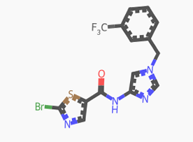 O=C(Nc1cn(Cc2cccc(C(F)(F)F)c2)cn1)c1cnc(Br)s1